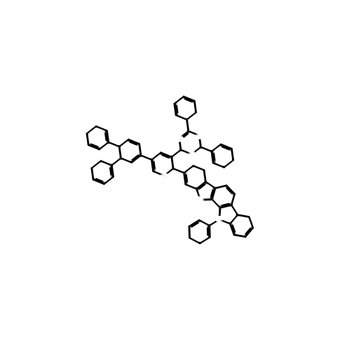 C1=CCCC(C2C=C(C3=CNC(C4=Cc5oc6c7c(ccc6c5CC4)C4CC=CC=C4N7C4=CCCC=C4)C(C4N=C(C5C=CC=CC5)NC(C5=CCCC=C5)N4)=C3)C=CC2C2=CCCC=C2)=C1